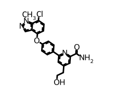 Cn1ncc2c(Oc3ccc(-c4cc(CCO)cc(C(N)=O)n4)cc3)ccc(Cl)c21